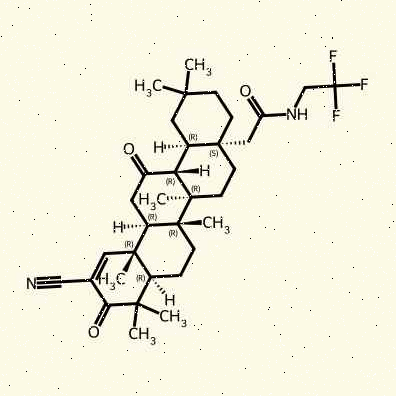 CC1(C)CC[C@@]2(CC(=O)NCC(F)(F)F)CC[C@]3(C)[C@H](C(=O)C[C@@H]4[C@@]5(C)C=C(C#N)C(=O)C(C)(C)[C@@H]5CC[C@]43C)[C@H]2C1